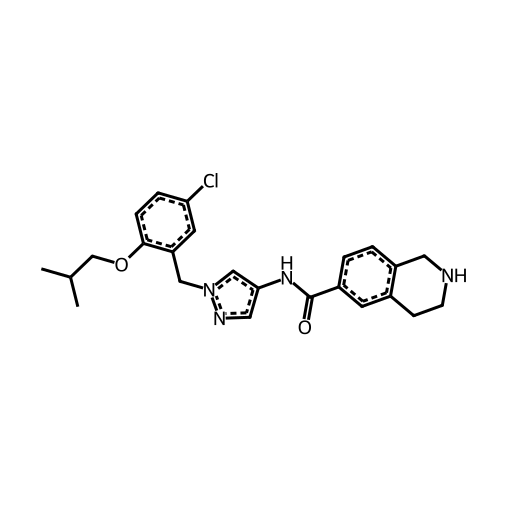 CC(C)COc1ccc(Cl)cc1Cn1cc(NC(=O)c2ccc3c(c2)CCNC3)cn1